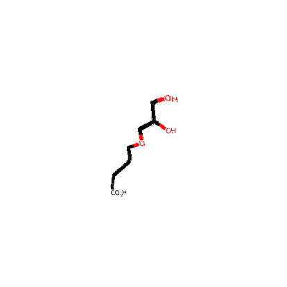 O=C(O)CCCOCC(O)CO